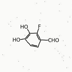 O=Cc1ccc(O)c(O)c1F